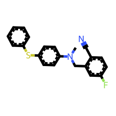 CN(Cc1cc(F)ccc1C#N)c1ccc(Sc2ccccc2)cc1